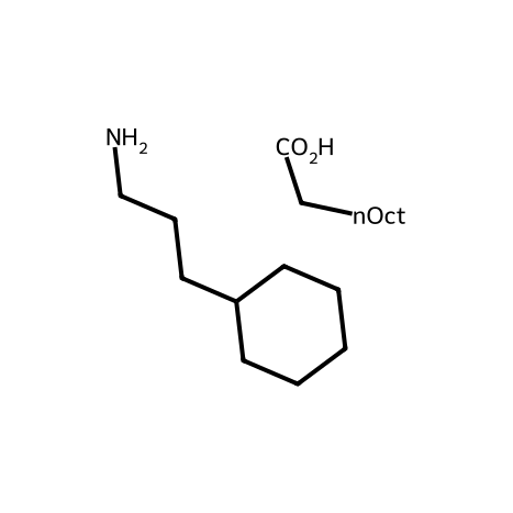 CCCCCCCCCC(=O)O.NCCCC1CCCCC1